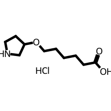 Cl.O=C(O)CCCCCOC1CCNC1